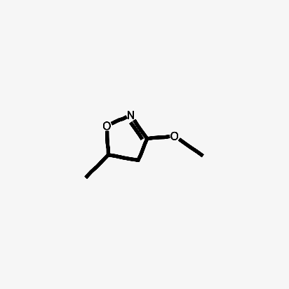 COC1=NOC(C)C1